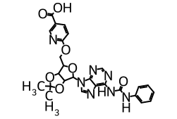 CC1(C)OC2C(COc3ccc(C(=O)O)cn3)OC(n3cnc4c(NC(=O)Nc5ccccc5)ncnc43)C2O1